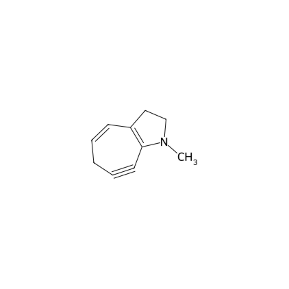 CN1CCC2=C1C#CCC=C2